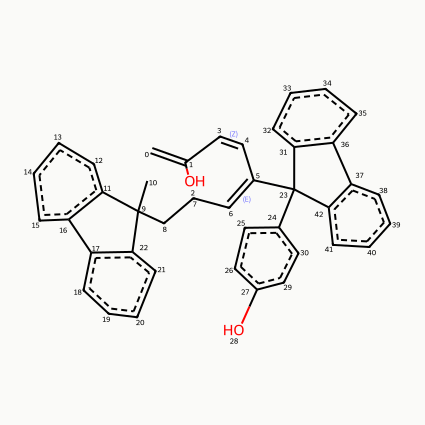 C=C(O)/C=C\C(=C/CCC1(C)c2ccccc2-c2ccccc21)C1(c2ccc(O)cc2)c2ccccc2-c2ccccc21